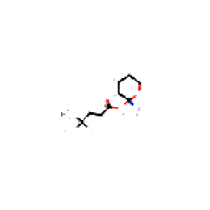 CC(C)(C)CCC(=O)OC1(N)CCCCO1